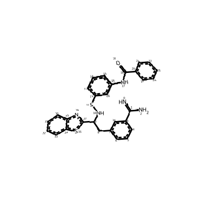 N=C(N)c1cccc(CC(NSc2cccc(NC(=O)c3ccccc3)c2)c2nc3ccccc3s2)c1